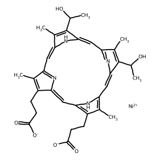 CC1=C(CCC(=O)[O-])c2cc3[nH]c(cc4nc(cc5[nH]c(cc1n2)c(C)c5C(C)O)C(C)=C4C(C)O)c(C)c3CCC(=O)[O-].[Ni+2]